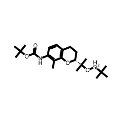 Cc1c(NC(=O)OC(C)(C)C)ccc2c1O[C@@H](C(C)(C)O[SiH2]C(C)(C)C)CC2